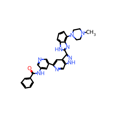 CN1CCN(c2cccc3[nH]c(-c4n[nH]c5cnc(-c6cncc(NC(=O)c7ccccc7)c6)cc45)nc23)CC1